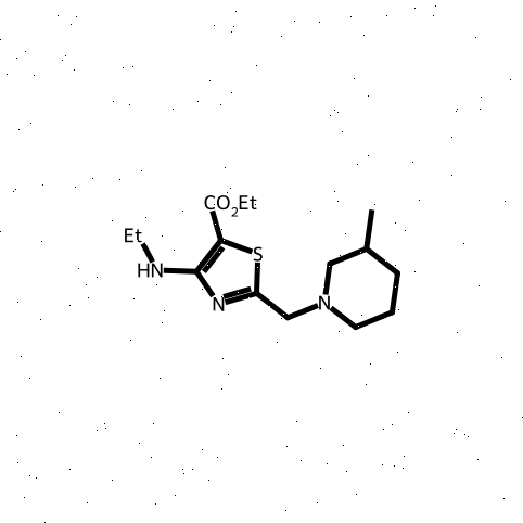 CCNc1nc(CN2CCCC(C)C2)sc1C(=O)OCC